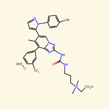 Cc1c(-c2ccnn2-c2ccc(C#N)cc2)cn2nc(NC(=O)NCCC[N+](C)(C)CC(=O)O)nc2c1-c1cccc(C(F)(F)F)c1.O=C[O-]